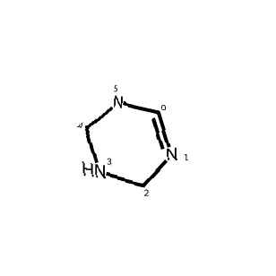 C1=NCNC[N]1